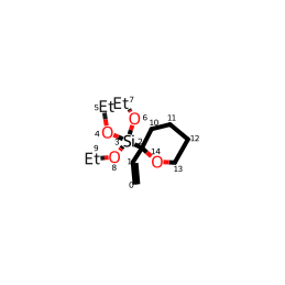 C=CC1([Si](OCC)(OCC)OCC)CCCCO1